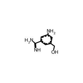 N=C(N)c1cc(N)cc(CO)c1